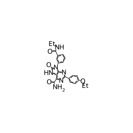 CCNC(=O)c1cccc(-n2c(=O)[nH]c3c(C(N)=O)nc(-c4ccc(OCC)cc4)nc32)c1